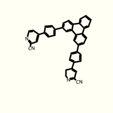 N#CC1=NCCC(c2ccc(-c3ccc4c5ccccc5c5ccc(-c6ccc(-c7ccnc(C#N)c7)cc6)cc5c4c3)cc2)=C1